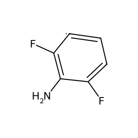 Nc1c(F)[c]ccc1F